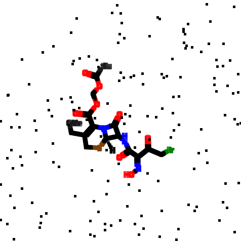 COCC1=C(C(=O)OCOC(=O)C(C)(C)C)N2C(=O)C(NC(=O)/C(=N\O)C(=O)CBr)[C@H]2SC1